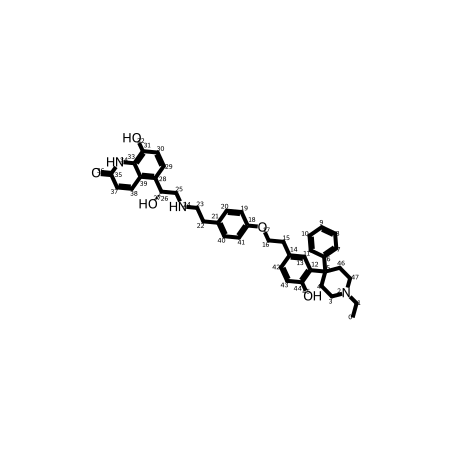 CCN1CCC(c2ccccc2)(c2cc(CCOc3ccc(CCNC[C@H](O)c4ccc(O)c5[nH]c(=O)ccc45)cc3)ccc2O)CC1